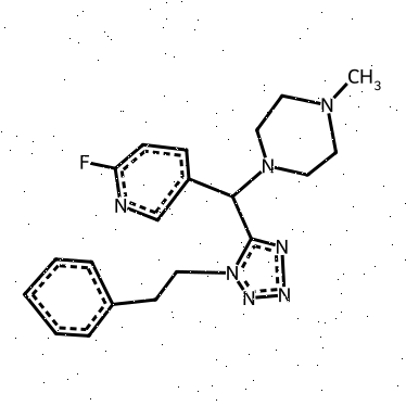 CN1CCN(C(c2ccc(F)nc2)c2nnnn2CCc2ccccc2)CC1